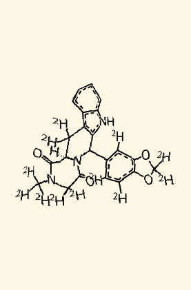 [2H]c1c([2H])c(C2c3[nH]c4ccccc4c3C([2H])([2H])[C@@H]3C(=O)N(C([2H])([2H])[2H])C([2H])([2H])C(=O)N23)c([2H])c2c1OC([2H])([2H])O2